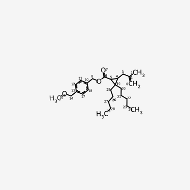 C=C(C)CC1C(C(=O)OCc2ccc(COC)cc2)C1(CCCCC)CCCCC